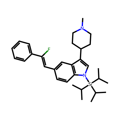 CC(C)[Si](C(C)C)(C(C)C)n1cc(C2CCN(C)CC2)c2cc(C=C(F)c3ccccc3)ccc21